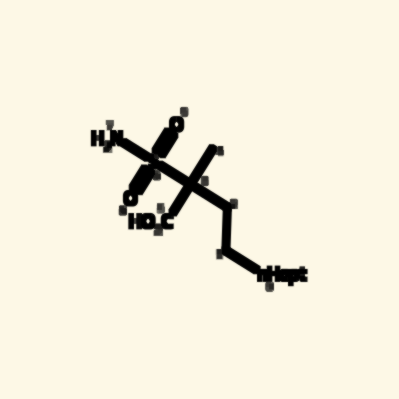 CCCCCCCCCC(C)(C(=O)O)S(N)(=O)=O